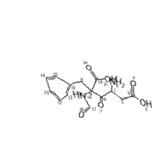 NC(CC(=O)O)C(=O)C(Cc1ccccc1)(NC=O)C(=O)O